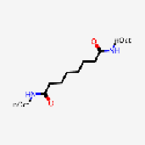 CCCCCCCCNC(=O)CCCCCCC(=O)NCCCCCCCC